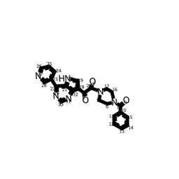 O=C(C(=O)N1CCN(C(=O)c2ccccc2)CC1)c1c[nH]c2c(-c3cccnc3)ncnc12